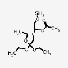 CCOC(CCC(CO[SiH3])OC(C)=O)(OCC)OCC